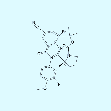 COc1ccc(-n2c([C@@]3(C)CCCN3C(=O)OC(C)(C)C)nc3c(Br)cc(C#N)cc3c2=O)cc1F